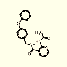 CC(=O)Nc1ncccc1C(=O)NCc1ccc(Oc2ccccc2)cc1